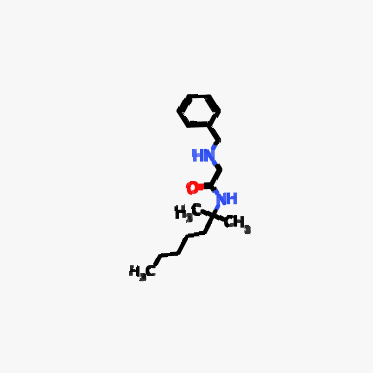 CCCCCC(C)(C)NC(=O)CNCc1ccccc1